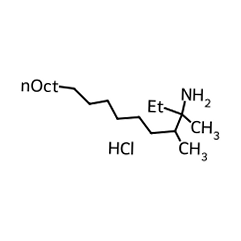 CCCCCCCCCCCCCCC(C)C(C)(N)CC.Cl